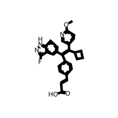 COc1ccc(C(=C(c2ccc(C=CC(=O)O)cc2)c2ccc3[nH]nc(F)c3c2)C2CCC2)cn1